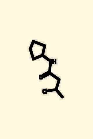 CC(Cl)CC(=O)NC1CCCC1